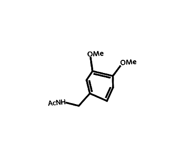 COc1ccc(CNC(C)=O)cc1OC